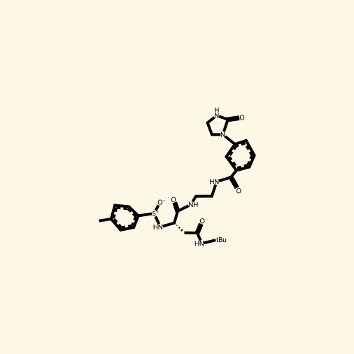 Cc1ccc([S+]([O-])N[C@@H](CC(=O)NC(C)(C)C)C(=O)NCCNC(=O)c2cccc(N3CCNC3=O)c2)cc1